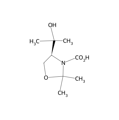 CC(C)(O)[C@@H]1COC(C)(C)N1C(=O)O